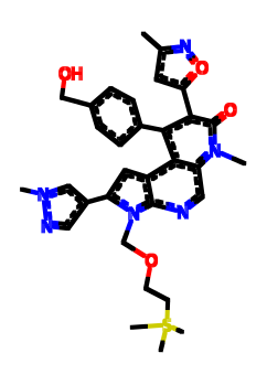 Cc1cc(-c2c(-c3ccc(CO)cc3)c3c4cc(-c5cnn(C)c5)n(COCCS(C)(C)C)c4ncc3n(C)c2=O)on1